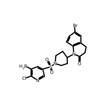 Bc1cc(S(=O)(=O)N2CCC(N3C(=O)CCc4cc(Br)ccc43)CC2)cnc1Cl